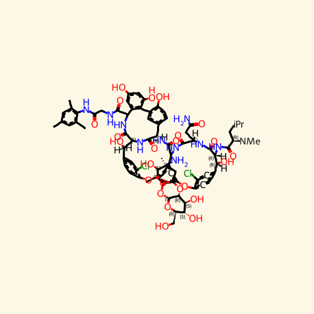 CN[C@H](CC(C)C)C(=O)N[C@H]1C(=O)N[C@@H](CC(N)=O)C(=O)NC2C(=O)N[C@H]3C(=O)N[C@H](C(=O)NC(C(=O)NCC(=O)Nc4c(C)cc(C)cc4C)c4cc(O)cc(O)c4-c4cc3ccc4O)[C@H](O)c3ccc(c(Cl)c3)Oc3cc2cc(c3O[C@@H]2O[C@H](CO)[C@@H](O)[C@H](O)[C@H]2OC2C[C@](C)(N)[C@H](O)[C@H](C)O2)Oc2ccc(cc2Cl)[C@H]1O